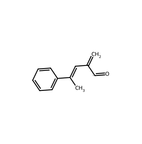 C=C([C]=O)C=C(C)c1ccccc1